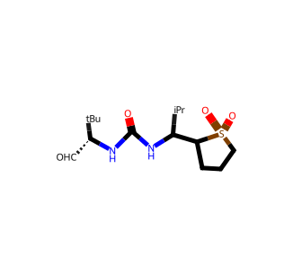 CC(C)C(NC(=O)N[C@H](C=O)C(C)(C)C)C1CCCS1(=O)=O